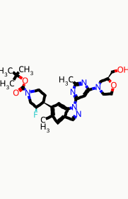 Cc1nc(N2CCO[C@H](CO)C2)cc(-n2ncc3cc(C)c([C@@H]4CCN(C(=O)OC(C)(C)C)C[C@@H]4F)cc32)n1